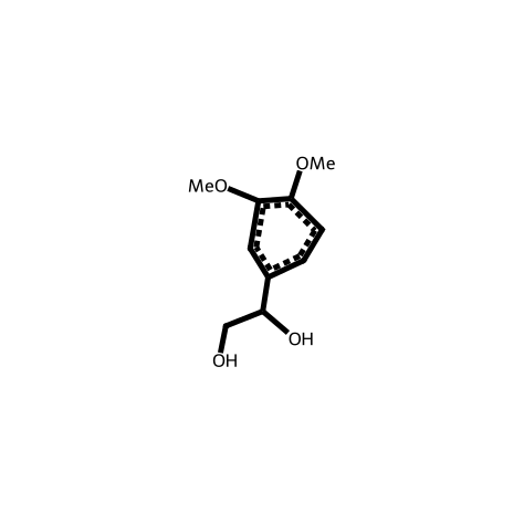 COc1ccc(C(O)CO)cc1OC